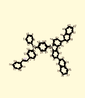 C(=C\c1ccc(N(c2ccccc2)c2ccc(-n3c4ccc(-c5ccc6ccccc6c5)cc4c4cc(-c5ccc6ccccc6c5)ccc43)cc2)cc1)/c1ccccc1